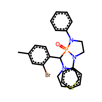 Cc1ccc(C(N2CCSCC2)P2(=O)N(c3ccccc3)CCN2c2ccccc2)c(Br)c1